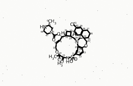 C[C@H]1CN(C(=O)O[C@H]2/C=C/COC(C)(C)C(=O)NS(=O)(=O)c3ccc4c(c3)N(C[C@@H]3CC[C@H]32)C[C@@]2(CCCc3cc(Cl)ccc32)CO4)CCN1